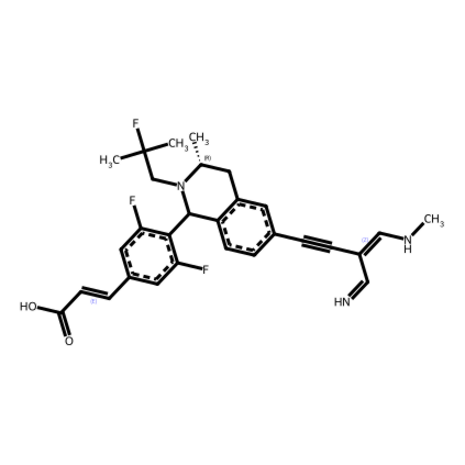 CN/C=C(/C#Cc1ccc2c(c1)C[C@@H](C)N(CC(C)(C)F)C2c1c(F)cc(/C=C/C(=O)O)cc1F)C=N